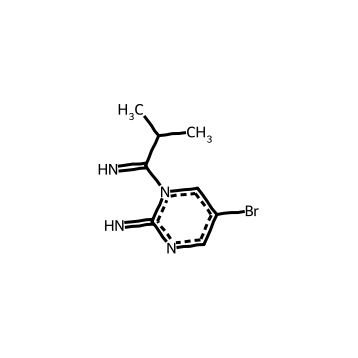 CC(C)C(=N)n1cc(Br)cnc1=N